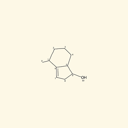 CC1CCCC2C1=CCC2O